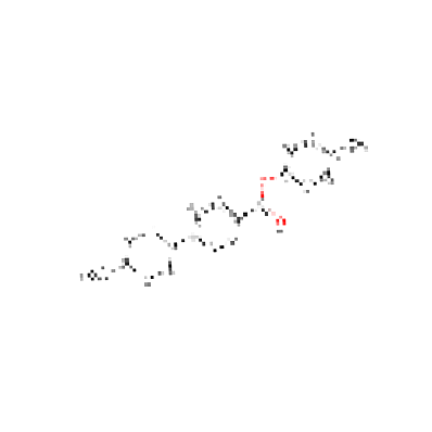 CCCCCCCCC1CCC(c2ccc(C(=O)Oc3ccc(C)cc3)cc2)CC1